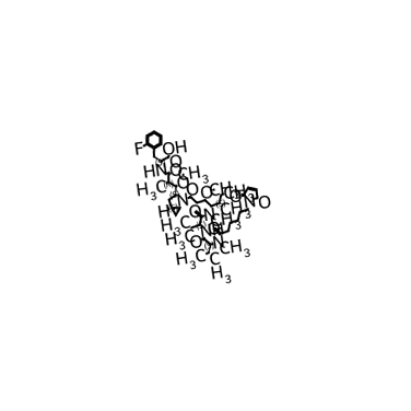 CC[C@H](C)C(C(CC(=O)N1C2C[C@H]2C[C@H]1C(OC)[C@@H](C)C(=O)N[C@@H](Cc1ccccc1F)C(=O)O)OC)N(C)C(=O)[C@@H](NC(=O)[C@H](C(C)C)N(C)C(=O)CCCCCN1C(=O)C=CC1=O)C(C)C